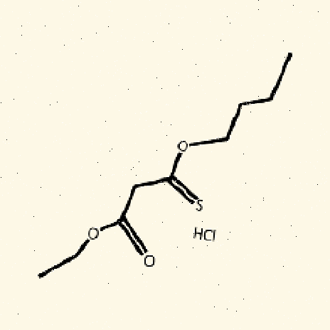 CCCCOC(=S)CC(=O)OCC.Cl